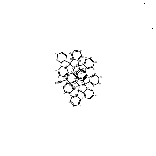 N#Cc1cc(N2C(c3ccccc3)(c3ccccc3)c3ccccc3C2(c2ccccc2)c2ccccc2)cc(N2C(c3ccccc3)(c3ccccc3)c3ccccc3C2(c2ccccc2)c2ccccc2)c1